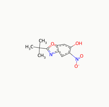 CC(C)(C)c1nc2cc([N+](=O)[O-])c(O)cc2o1